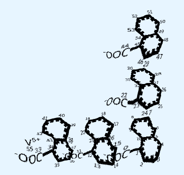 O=C([O-])c1cccc2ccccc12.O=C([O-])c1cccc2ccccc12.O=C([O-])c1cccc2ccccc12.O=C([O-])c1cccc2ccccc12.O=C([O-])c1cccc2ccccc12.[V+5]